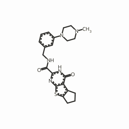 CN1CCN(c2cccc(CNC(=O)c3nc4sc5c(c4c(=O)[nH]3)CCC5)c2)CC1